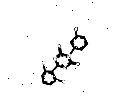 O=c1nc(-c2c(Cl)cccc2Cl)oc(=O)n1-c1cccc(Cl)c1